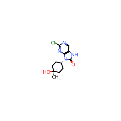 C[C@]1(O)CC[C@H](n2c(=O)[nH]c3cnc(Cl)nc32)CC1